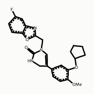 COc1ccc(C2=CN(Cc3nc4cc(F)ccc4o3)C(=O)NC2)cc1OC1CCCC1